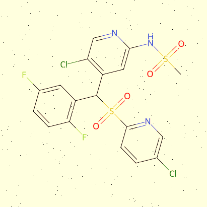 CS(=O)(=O)Nc1cc(C(c2cc(F)ccc2F)S(=O)(=O)c2ccc(Cl)cn2)c(Cl)cn1